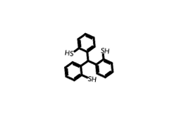 Sc1ccccc1C(c1ccccc1S)c1ccccc1S